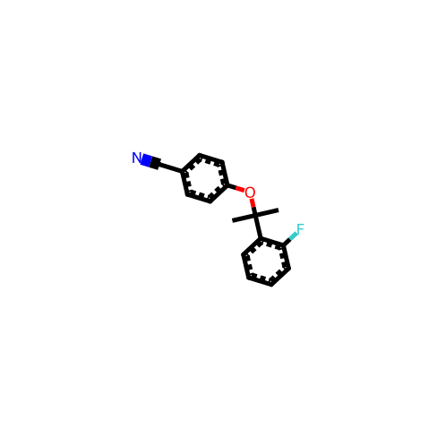 CC(C)(Oc1ccc(C#N)cc1)c1ccccc1F